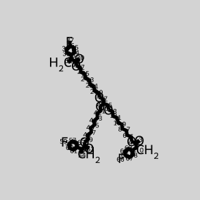 C=C(C(=O)OCCCCCCCCCOCC(COCCCCCCCCCOC(=O)C(=C)c1ccc(F)cc1)OCCCCCCCCCOC(=O)C(=C)c1ccc(F)cc1)c1ccc(F)cc1